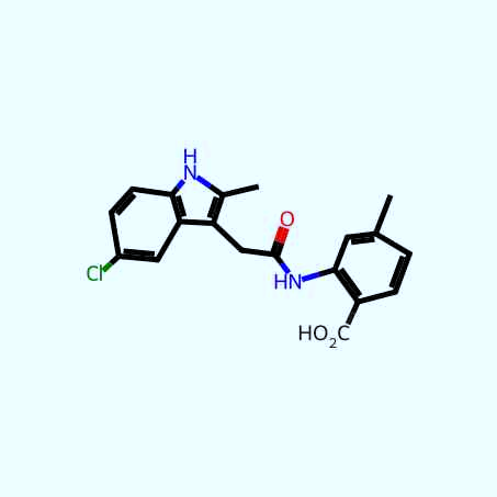 Cc1ccc(C(=O)O)c(NC(=O)Cc2c(C)[nH]c3ccc(Cl)cc23)c1